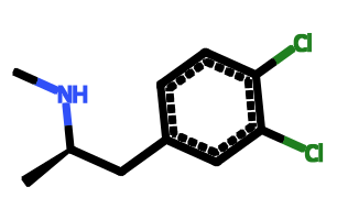 CN[C@H](C)Cc1ccc(Cl)c(Cl)c1